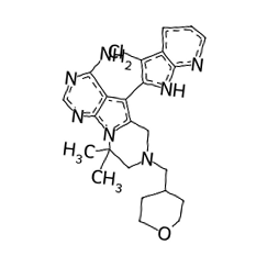 CC1(C)CN(CC2CCOCC2)Cc2c(-c3[nH]c4ncccc4c3Cl)c3c(N)ncnc3n21